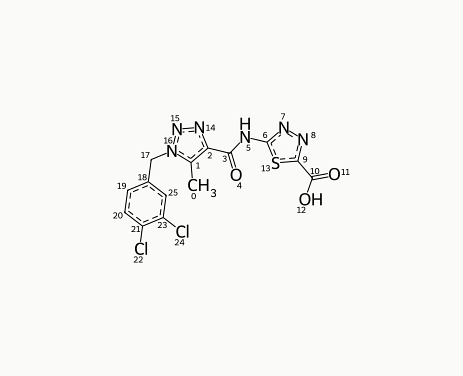 Cc1c(C(=O)Nc2nnc(C(=O)O)s2)nnn1Cc1ccc(Cl)c(Cl)c1